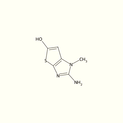 Cn1c(N)nc2sc(O)cc21